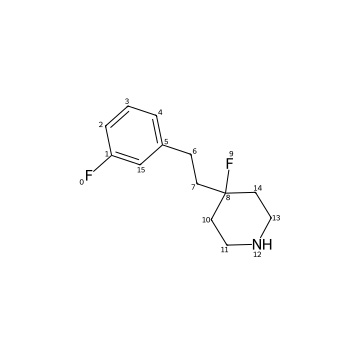 Fc1cccc(CCC2(F)CCNCC2)c1